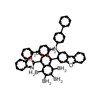 Bc1c(B)c(B)c2c(-c3cc4oc5ccccc5c4cc3N(c3ccc(-c4ccccc4)cc3)c3ccc(-c4ccccc4)cc3)c(B)c(B)c(-c3nc4ccccc4o3)c2c1B